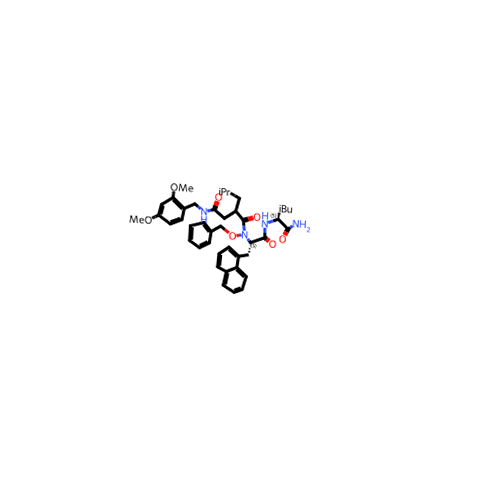 CCC(C)[C@H](NC(=O)[C@H](Cc1cccc2ccccc12)N(OCc1ccccc1)C(=O)C(CC(=O)NCc1ccc(OC)cc1OC)CC(C)C)C(N)=O